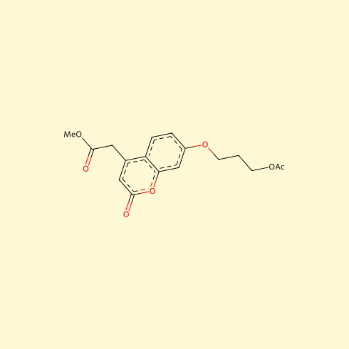 COC(=O)Cc1cc(=O)oc2cc(OCCCOC(C)=O)ccc12